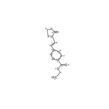 CCOC(=O)c1ccc(/C=C/C2CCCN2)cc1